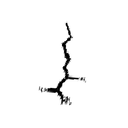 CCCCCC(N)=C(N)N